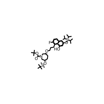 CC(C)[Si](Oc1cc(O)c2c(CCCO[C@@H]3CC[C@H](O[Si](C)(C)C(C)(C)C)CN(C(=O)OC(C)(C)C)C3)c(F)ccc2c1)(C(C)C)C(C)C